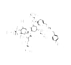 CN(C(=O)OC(C)(C)C)[C@@H]1[C@@H](O)[C@@H](O[C@H]2[C@H](NC(=O)[C@@H](O)CNC(=O)OC(C)(C)C)C[C@H](NC(=O)OC(C)(C)C)C([C@H]3OC(CNC(=O)OCc4ccc([N+](=O)[O-])cc4)=CC[C@H]3NC(=O)OC(C)(C)C)[C@@H]2O)OC[C@]1(C)O